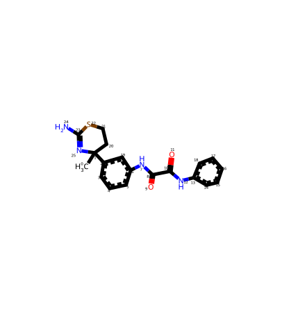 CC1(c2cccc(NC(=O)C(=O)Nc3ccccc3)c2)CCSC(N)=N1